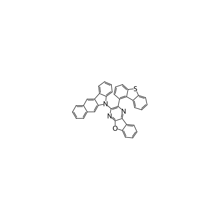 c1ccc2cc3c(cc2c1)c1ccccc1n3-c1nc2oc3ccccc3c2nc1-c1cccc2sc3ccccc3c12